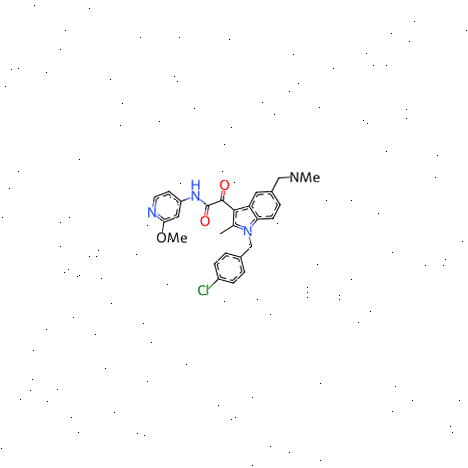 CNCc1ccc2c(c1)c(C(=O)C(=O)Nc1ccnc(OC)c1)c(C)n2Cc1ccc(Cl)cc1